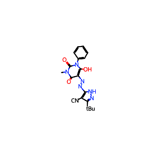 [C-]#[N+]c1c(C(C)(C)C)n[nH]c1/N=N/c1c(O)n(-c2ccccc2)c(=O)n(C)c1=O